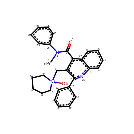 CCCN(C(=O)c1c(C[N+]2([O-])CCCCC2)c(-c2ccccc2)nc2ccccc12)c1ccccc1